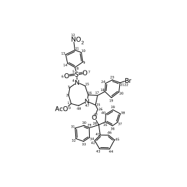 CC(=O)OC1CCN(S(=O)(=O)c2ccc([N+](=O)[O-])cc2)CC2C(c3ccc(Br)cc3)C(COC(c3ccccc3)(c3ccccc3)c3ccccc3)N2C1